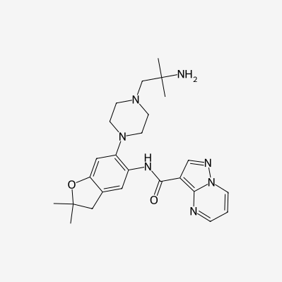 CC(C)(N)CN1CCN(c2cc3c(cc2NC(=O)c2cnn4cccnc24)CC(C)(C)O3)CC1